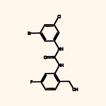 O=C(Nc1cc(Cl)cc(Br)c1)Nc1cc(F)ccc1CO